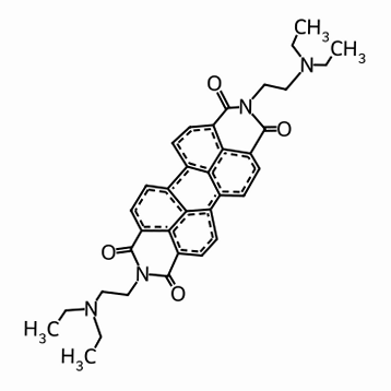 CCN(CC)CCN1C(=O)c2ccc3c4ccc5c6c(ccc(c7ccc(c2c37)C1=O)c64)C(=O)N(CCN(CC)CC)C5=O